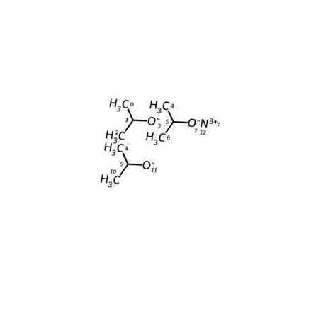 CC(C)[O-].CC(C)[O-].CC(C)[O-].[N+3]